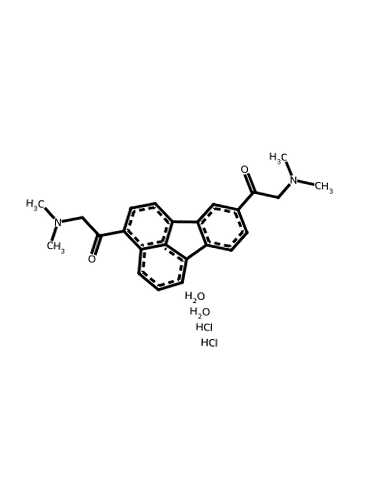 CN(C)CC(=O)c1ccc2c(c1)-c1ccc(C(=O)CN(C)C)c3cccc-2c13.Cl.Cl.O.O